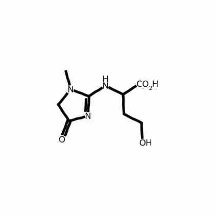 CN1CC(=O)N=C1NC(CCO)C(=O)O